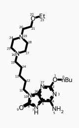 CCCCOc1nc(N)c2[nH]c(=O)n(CCCCCN3CCN(CCOCC)CC3)c2n1